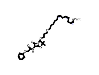 CCCCC/C=C\C/C=C\C/C=C\CCCCCOCCCOC1N2C(=O)C(NC(=O)COc3ccccc3)C2SC1(C)C